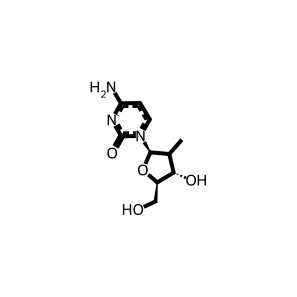 CC1[C@H](n2ccc(N)nc2=O)O[C@H](CO)[C@H]1O